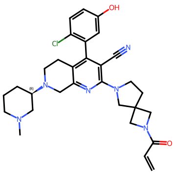 C=CC(=O)N1CC2(CCN(c3nc4c(c(-c5cc(O)ccc5Cl)c3C#N)CCN([C@@H]3CCCN(C)C3)C4)C2)C1